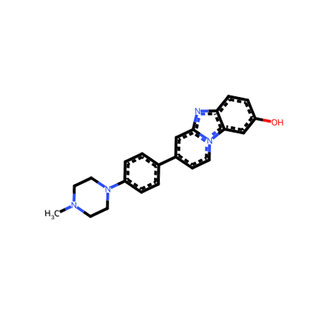 CN1CCN(c2ccc(-c3ccn4c(c3)nc3ccc(O)cc34)cc2)CC1